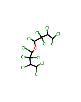 ClC(Cl)C(Cl)C(Cl)(Cl)C(Cl)OC(Cl)C(Cl)(Cl)C(Cl)C(Cl)Cl